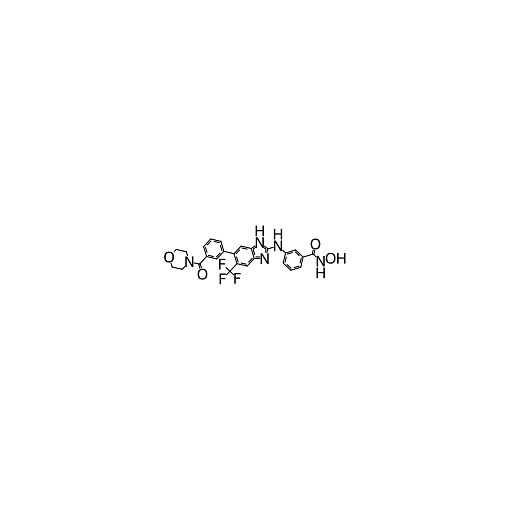 O=C(NO)c1cccc(Nc2nc3cc(C(F)(F)F)c(-c4cccc(C(=O)N5CCOCC5)c4)cc3[nH]2)c1